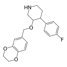 Fc1ccc(C2CCNCC2OCc2ccc3c(c2)OCCO3)cc1